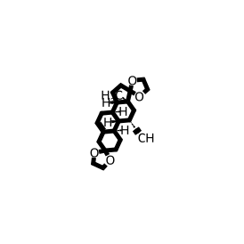 C#C[C@H]1C[C@@]2(C)[C@@H](CCC23OCCO3)[C@@H]2CC=C3CC4(CC[C@@H]3[C@H]21)OCCO4